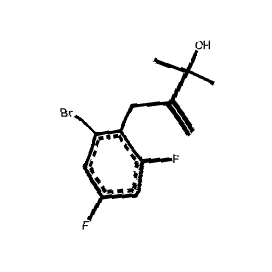 C=C(Cc1c(F)cc(F)cc1Br)C(C)(C)O